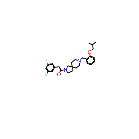 CC(C)COc1ccccc1CN1CCC2(CC1)CCN(C(=O)Cc1cc(F)cc(F)c1)C2